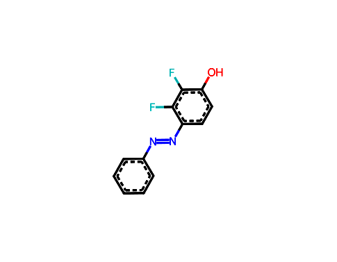 Oc1ccc(/N=N/c2ccccc2)c(F)c1F